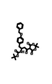 CC(C)(C)OC(=O)NC(CC(=O)C1C(=O)OC(C)(C)OC1=O)Cc1ccc(OCc2ccccc2)cc1